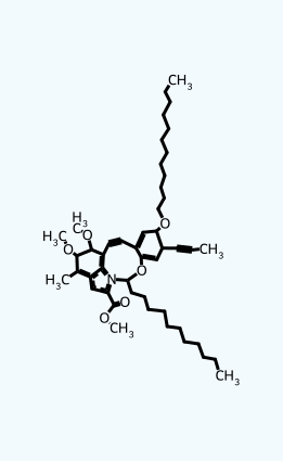 CC#CC1C=C2OC(CCCCCCCCCCC)n3c(C(=O)OC)cc4c3=C(C#CC2=CC1OCCCCCCCCCCCC)C(OC)C(OC)C=4C